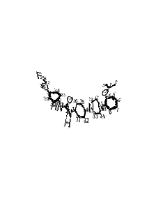 CC(C)Oc1ccccc1N1CCN([C@H]2CC[C@H](NC(=O)Nc3ccc(OCF)cc3)CC2)CC1